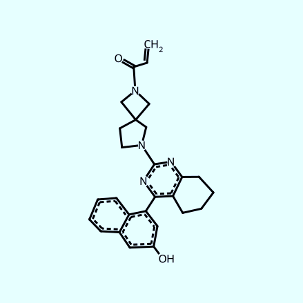 C=CC(=O)N1CC2(CCN(c3nc4c(c(-c5cc(O)cc6ccccc56)n3)CCCC4)C2)C1